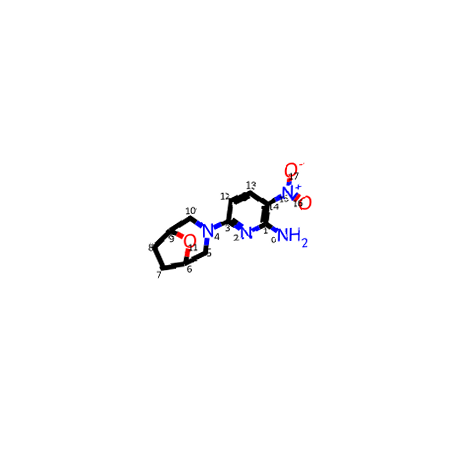 Nc1nc(N2CC3CCC(C2)O3)ccc1[N+](=O)[O-]